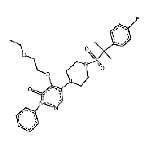 CCOCCOc1c(N2CCN(S(=O)(=O)C(C)(C)c3ccc(F)cc3)CC2)cnn(-c2ccccc2)c1=O